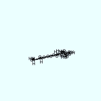 C[C@@H]1NC(=O)N[C@@H]1CCCCCC(=O)NCCOCCCOCCOCCOCCC(=O)NCCCc1cn([C@@H]2O[C@H](COP(=O)(O)O)C(OP(=O)(O)O)C2O)c(=O)nc1N